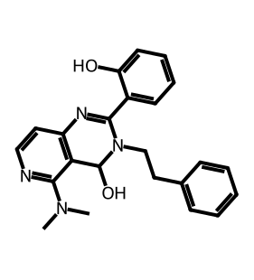 CN(C)c1nccc2c1C(O)N(CCc1ccccc1)C(c1ccccc1O)=N2